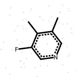 Cc1cncc(F)c1C